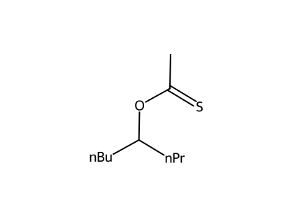 CCCCC(CCC)OC(C)=S